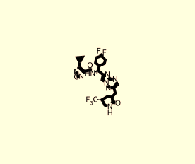 O=C(N[C@H](c1cn2nc(CC3C[C@@H](C(F)(F)F)CNC3=O)cnc2n1)C1CCC(F)(F)CC1)c1nonc1C1CC1